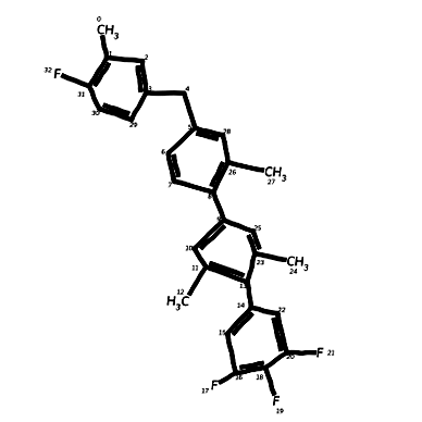 Cc1cc(Cc2ccc(-c3cc(C)c(-c4cc(F)c(F)c(F)c4)c(C)c3)c(C)c2)ccc1F